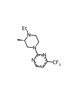 CCN1CCN(c2nccc(C(F)(F)F)n2)C[C@H]1C